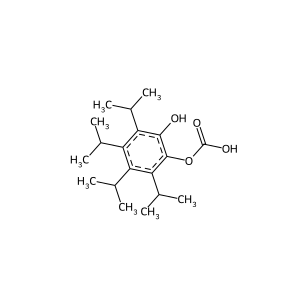 CC(C)c1c(O)c(OC(=O)O)c(C(C)C)c(C(C)C)c1C(C)C